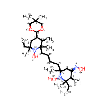 CCC1(C)CC(C2OCC(C)(C)CO2)C(C)C(C)(CCCCC2(C)C/C(=N/O)C(C)C(C)(CC)N2O)N1O